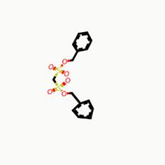 O=S(=O)(CS(=O)(=O)OCc1ccccc1)OCc1ccccc1